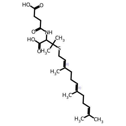 CC(C)=CCC/C(C)=C/CC/C(C)=C/CSC(C)(C)C(NC(=O)CCC(=O)O)C(=O)O